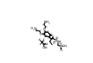 CCc1c(S(=O)(=O)NC[PH](=O)O)sc2cc(OCCN)c(OCCN)cc12.O=C(O)C(F)(F)F